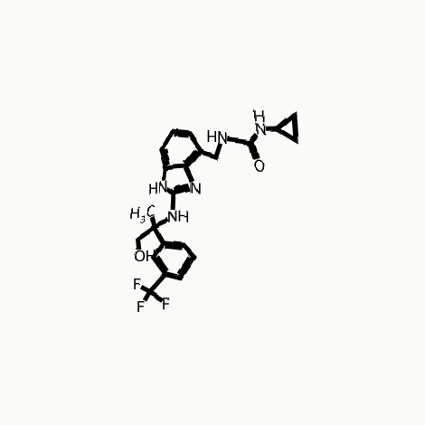 CC(CO)(Nc1nc2c(CNC(=O)NC3CC3)cccc2[nH]1)c1cccc(C(F)(F)F)c1